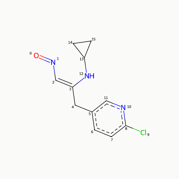 O=N/C=C(/Cc1ccc(Cl)nc1)NC1CC1